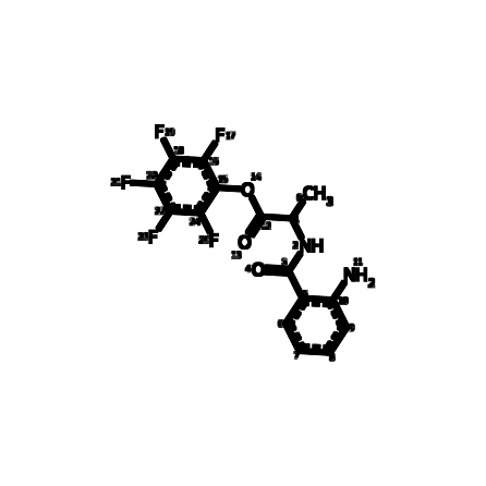 CC(NC(=O)c1ccccc1N)C(=O)Oc1c(F)c(F)c(F)c(F)c1F